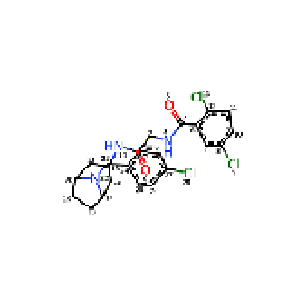 O=C(CNC(=O)c1cc(Cl)ccc1Cl)NC1CC2CCC(C1)N2Cc1ccc(Cl)cc1